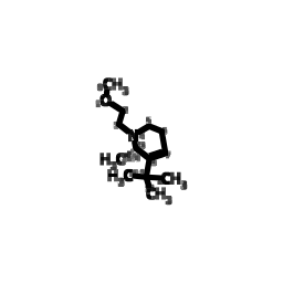 COCCN1CCC=C(C(C)(C)C)[C@@H]1C